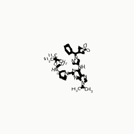 CC(C)n1cnc2c(Nc3cnn(C(c4ccccc4)C4CS(=O)(=O)C4)c3)nc(N3CC[C@H](NC(=O)OC(C)(C)C)C3)nc21